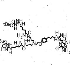 CC(C)(C)OC(=O)NC(=N)NCCCC[C@@H](N)C(=O)NCCCN(CCCNC(=O)[C@@H](N)CCCCNC(=N)NC(=O)OC(C)(C)C)CCOc1ccc(CCCCNC(=N)NC(=O)c2nc(Cl)c(N)nc2N)cc1